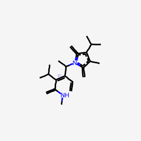 C=C/C(=C(\C(=C)NC)C(C)C)C(C)n1c(=C)c(C)c(C(C)C)c1=C